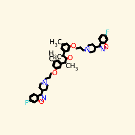 Cc1cc(OCCCN2CCC(c3noc4cc(F)ccc34)CC2)cc(C(C)C(=O)C(C)c2cc(C)cc(OCCCN3CCC(c4noc5cc(F)ccc45)CC3)c2)c1